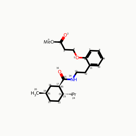 COC(=O)CCOc1ccccc1CCNC(=O)[C@@H]1C[C@H](C)CC[C@H]1C(C)C